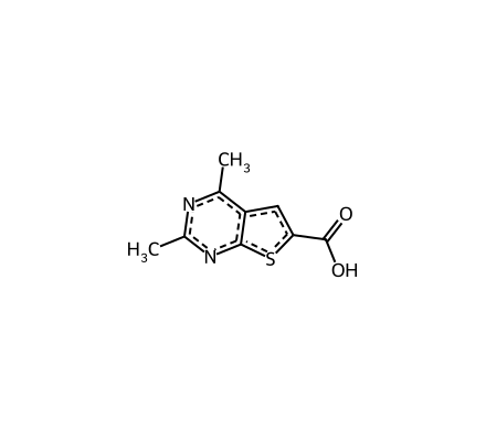 Cc1nc(C)c2cc(C(=O)O)sc2n1